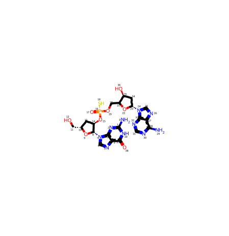 Nc1nc2c(ncn2[C@@H]2O[C@H](CO)C[C@H]2O[P@](=O)(S)OCC2O[C@@H](n3cnc4c(N)ncnc43)C[C@@H]2O)c(=O)[nH]1